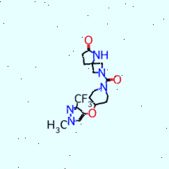 Cn1cc(OC2CCN(C(=O)N3CC4(CCC(=O)N4)C3)CC2)c(C(F)(F)F)n1